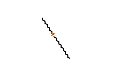 CCCCCCCCCCCCCCSSCCCCCCCCC